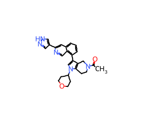 CC(=O)N1CCc2c(c(-c3cccc4cc(-c5cn[nH]c5)ncc34)cn2C2CCOCC2)C1